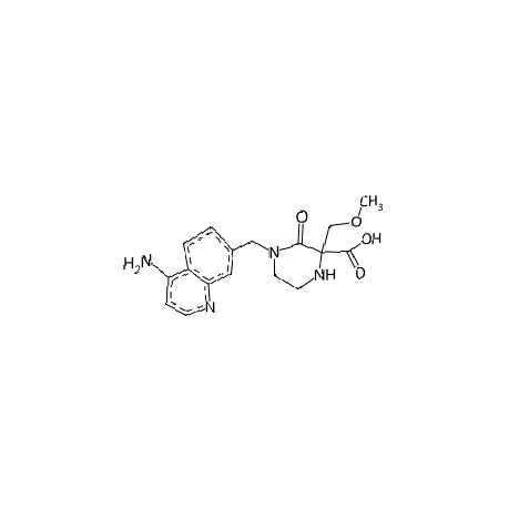 COCC1(C(=O)O)NCCN(Cc2ccc3c(N)ccnc3c2)C1=O